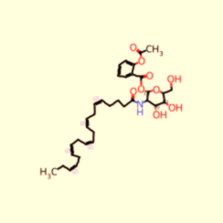 CC/C=C\C/C=C\C/C=C\C/C=C\C/C=C\CCCC(=O)NC1[C@H](OC(=O)c2ccccc2OC(C)=O)OC(CO)[C@@H](O)[C@@H]1O